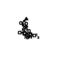 Cn1c(C(F)(F)F)cc(=O)n(-c2cc(N=C3SCC(=O)N3CC(=O)OCC3CC3)c(Cl)cc2F)c1=O